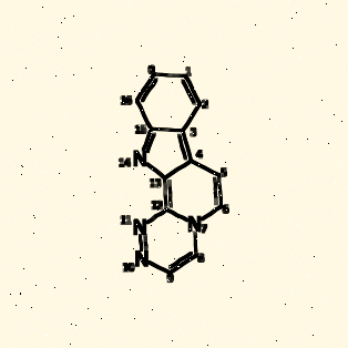 c1ccc2c3ccn4ccnnc4c-3nc2c1